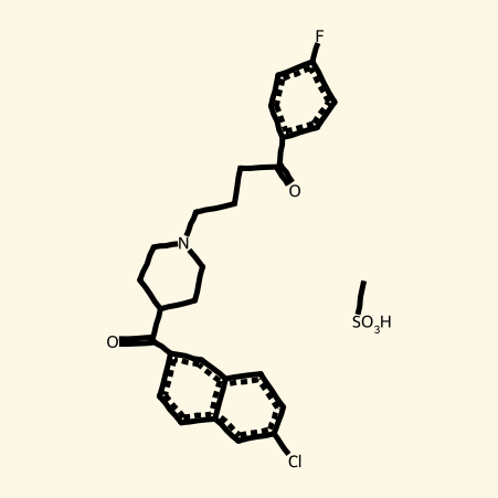 CS(=O)(=O)O.O=C(CCCN1CCC(C(=O)c2ccc3cc(Cl)ccc3c2)CC1)c1ccc(F)cc1